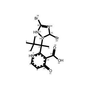 CC(C)(C)C(C)(c1[nH]ccc(=O)c1C(=O)O)N1NC(Br)=NC1Br